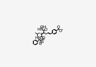 COC(=O)c1ccc(C=CC[C@H](C(=O)NO)[C@@H](CC(C)C)C(=O)NN(c2ccccc2)S(C)(=O)=O)cc1